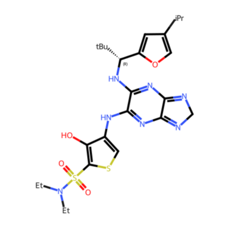 CCN(CC)S(=O)(=O)c1scc(Nc2nc3c(nc2N[C@@H](c2cc(C(C)C)co2)C(C)(C)C)=NCN=3)c1O